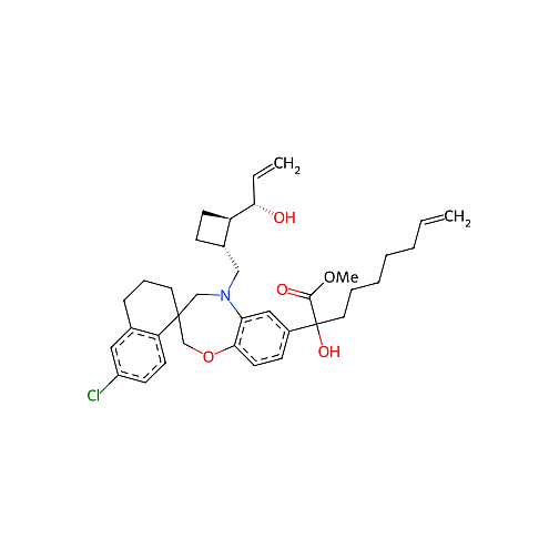 C=CCCCCCC(O)(C(=O)OC)c1ccc2c(c1)N(C[C@@H]1CC[C@H]1[C@@H](O)C=C)CC1(CCCc3cc(Cl)ccc31)CO2